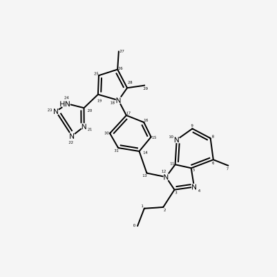 CCCc1nc2c(C)ccnc2n1Cc1ccc(-n2c(-c3nnn[nH]3)cc(C)c2C)cc1